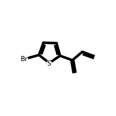 C=CC(=C)c1ccc(Br)s1